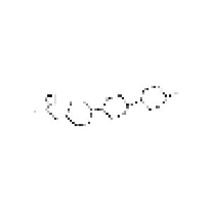 CC(Cl)CC1CCC(C2CCC(C3CCC(C)CC3)CC2)CC1